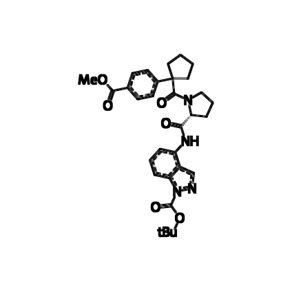 COC(=O)c1ccc(C2(C(=O)N3CCC[C@@H]3C(=O)Nc3cccc4c3cnn4C(=O)OC(C)(C)C)CCCC2)cc1